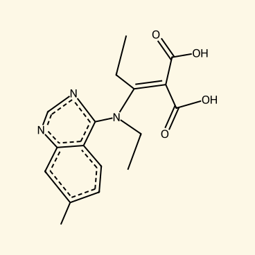 CCC(=C(C(=O)O)C(=O)O)N(CC)c1ncnc2cc(C)ccc12